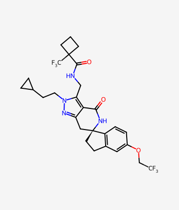 O=C1N[C@@]2(CCc3cc(OCC(F)(F)F)ccc32)Cc2nn(CCC3CC3)c(CNC(=O)C3(C(F)(F)F)CCC3)c21